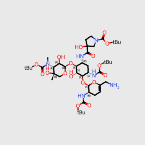 CN(C(=O)OC(C)(C)C)[C@@H]1[C@@H](O)[C@@H](O[C@@H]2[C@@H](O)[C@H](O[C@H]3OC(CN)=CC[C@H]3NC(=O)OC(C)(C)C)[C@@H](NC(=O)OC(C)(C)C)C[C@H]2NC(=O)C2(O)CCN(C(=O)OC(C)(C)C)C2)OC[C@]1(C)O